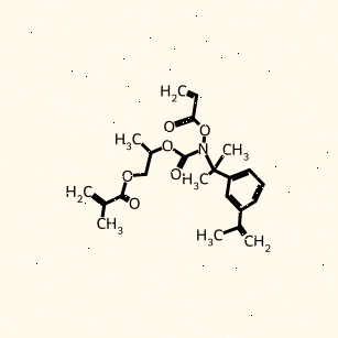 C=CC(=O)ON(C(=O)OC(C)COC(=O)C(=C)C)C(C)(C)c1cccc(C(=C)C)c1